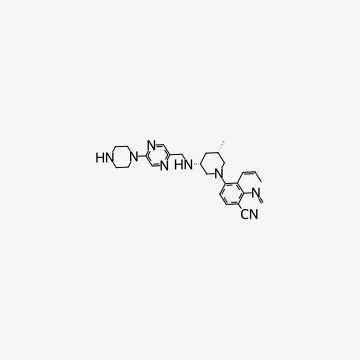 C=Nc1c(C#N)ccc(N2C[C@@H](C)C[C@@H](NCc3cnc(N4CCNCC4)cn3)C2)c1/C=C\C